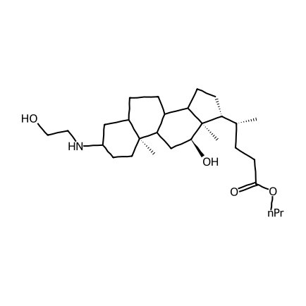 CCCOC(=O)CC[C@@H](C)[C@H]1CCC2C3CCC4CC(NCCO)CC[C@]4(C)C3C[C@H](O)[C@@]21C